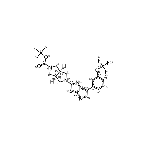 CC(C)(C)OC(=O)N1C[C@@H]2CN(c3nn4c(-c5cccc(OC(F)(F)F)c5)cnc4s3)C[C@@H]2C1